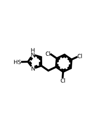 Sc1nc(Cc2c(Cl)cc(Cl)cc2Cl)c[nH]1